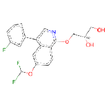 OC[C@H](O)COc1ncc(-c2cccc(F)c2)c2cc(OC(F)F)ccc12